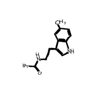 Cc1ccc2[nH]cc(CCNC(=O)C(C)C)c2c1